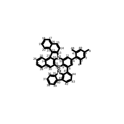 Cc1cc(C)c(-c2cc3c4c(c2)-n2c5ccc6ccccc6c5c5c6ccccc6cc(c52)B4n2c4ccccc4c4cccc-3c42)c(C)c1